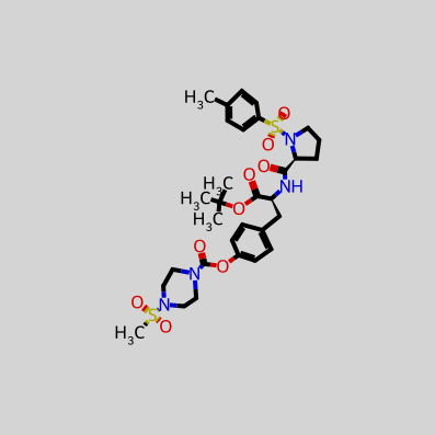 Cc1ccc(S(=O)(=O)N2CCC[C@H]2C(=O)N[C@@H](Cc2ccc(OC(=O)N3CCN(S(C)(=O)=O)CC3)cc2)C(=O)OC(C)(C)C)cc1